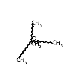 CCCCCCCCCCCCC(C)(CCCCCCCCCC)C(=O)OCCCCCCCCC